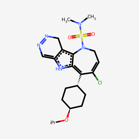 CC(C)O[C@H]1CC[C@H](C2=c3[nH]c4c(c3N(S(=O)(=O)N(C)C)CC=C2Cl)CN=NC=4)CC1